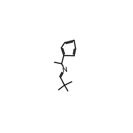 CC(N=CC(C)(C)C)c1ccccc1